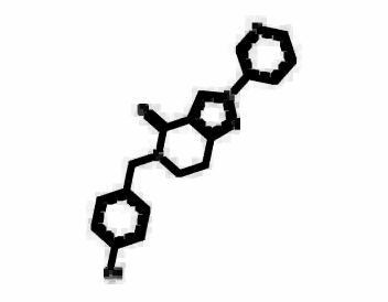 O=C1c2cn(-c3cccnc3)nc2CCN1Cc1ccc(O)cc1